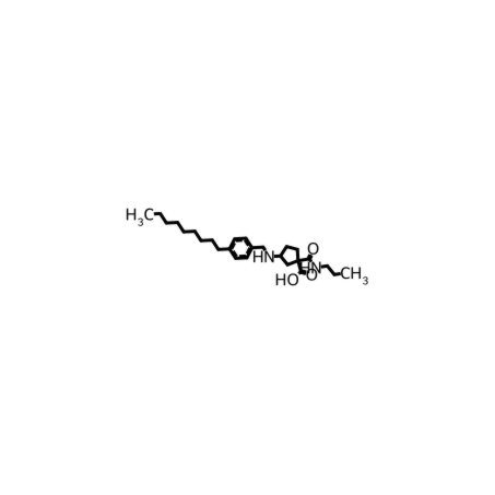 CCCCCCCCCc1ccc(CNC2CCC(C(=O)O)(C(=O)NCCC)C2)cc1